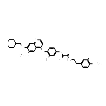 COc1ccc(CCNC(=O)C(=O)Nc2ccc(Oc3ccnc4cc(OCC5CCPCC5)c(OC)cc34)c(F)c2)cc1O